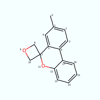 Cc1ccc2c(c1)C1(COC1)Oc1ccccc1-2